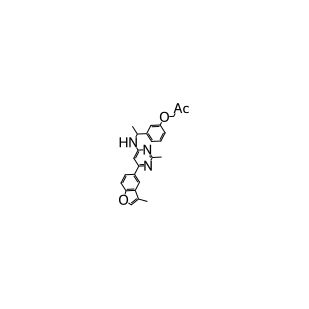 CC(=O)COc1cccc(C(C)Nc2cc(-c3ccc4occ(C)c4c3)nc(C)n2)c1